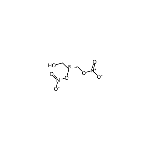 O=[N+]([O-])OC[C@@H](CO)O[N+](=O)[O-]